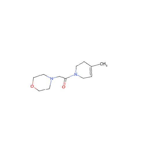 CC1=CCN(C(=O)CN2CCOCC2)CC1